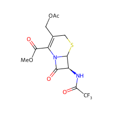 COC(=O)C1=C(COC(C)=O)CSC2[C@@H](NC(=O)C(F)(F)F)C(=O)N12